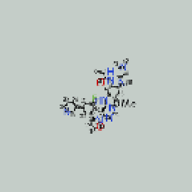 C=CC(=O)Nc1cc(Nc2cc(N3OCCC3c3cc(F)cc(-c4cccnc4)c3)ncn2)c(OC)cc1N(C)CCN(C)C